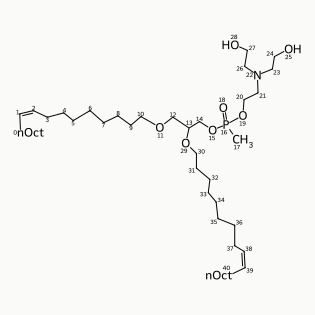 CCCCCCCC/C=C\CCCCCCCCOCC(COP(C)(=O)OCCN(CCO)CCO)OCCCCCCCC/C=C\CCCCCCCC